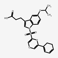 CC(C)Oc1ccc2c(c1)c(CCC(=O)O)cn2S(=O)(=O)C1=COC=C(C2=CC=CCC2)O1